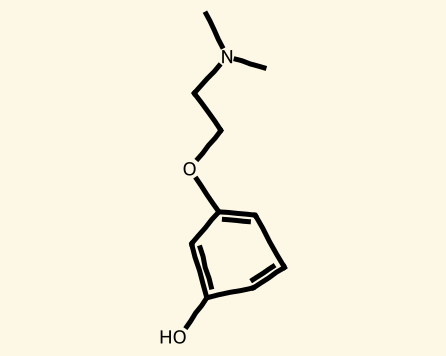 CN(C)CCOc1cccc(O)c1